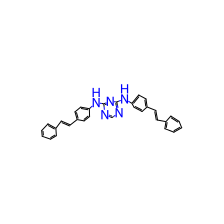 C(=Cc1ccc(Nc2ncnc(Nc3ccc(C=Cc4ccccc4)cc3)n2)cc1)c1ccccc1